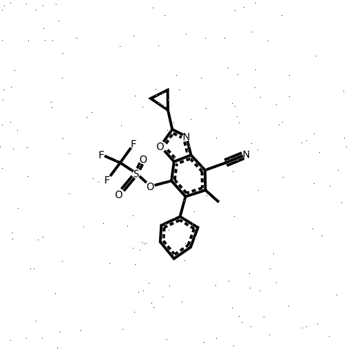 Cc1c(-c2ccccc2)c(OS(=O)(=O)C(F)(F)F)c2oc(C3CC3)nc2c1C#N